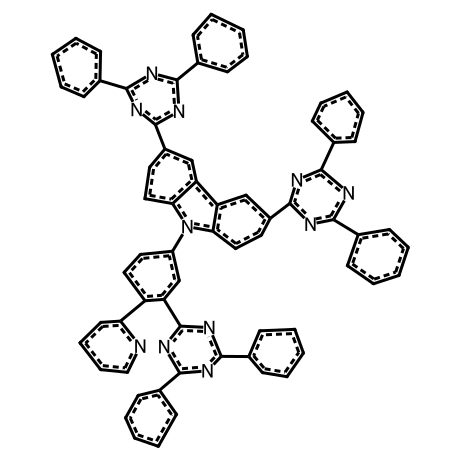 c1ccc(-c2nc(-c3ccccc3)nc(-c3ccc4c(c3)c3cc(-c5nc(-c6ccccc6)nc(-c6ccccc6)n5)ccc3n4-c3ccc(-c4ccccn4)c(-c4nc(-c5ccccc5)nc(-c5ccccc5)n4)c3)n2)cc1